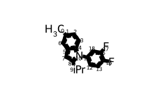 Cc1ccc2c(c1)cc(C(C)C)n2-c1ccc(F)c(F)c1